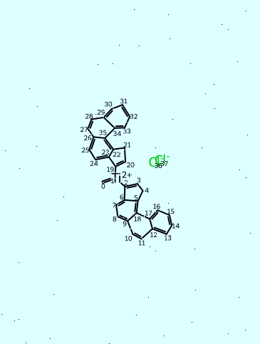 [CH2]=[Ti+2]([C]1=CCc2c1ccc1ccc3ccccc3c21)[C]1=CCc2c1ccc1ccc3ccccc3c21.[Cl-].[Cl-]